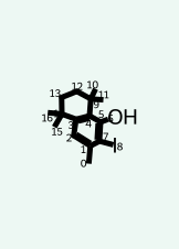 Cc1cc2c(c(O)c1I)C(C)(C)CCC2(C)C